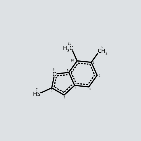 Cc1ccc2cc(S)oc2c1C